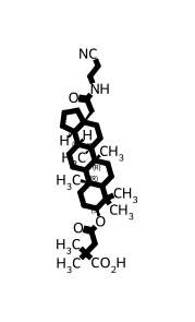 CC(C)(CC(=O)O[C@H]1CC[C@@]2(C)C(CC[C@]3(C)C2CC[C@@H]2[C@H]4CCC[C@]4(CC(=O)NCCC#N)CC[C@]23C)C1(C)C)C(=O)O